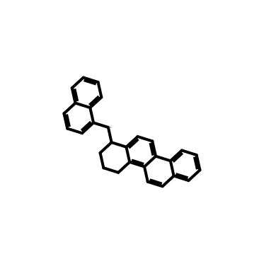 [CH](c1cccc2ccccc12)C1CCCc2c1ccc1c2ccc2ccccc21